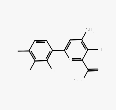 COC(=O)c1nc(-c2ccc(Cl)c(Cl)c2Cl)cc(N)c1Cl